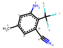 Cc1cc(N)c(C(F)(F)F)c(C#N)c1